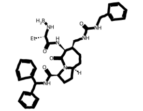 BN[C@@H](CC)C(=O)N[C@@H]1C(=O)N2[C@@H](CC[C@@H]1CNC(=O)NCc1ccccc1)CC[C@H]2C(=O)NC(c1ccccc1)c1ccccc1